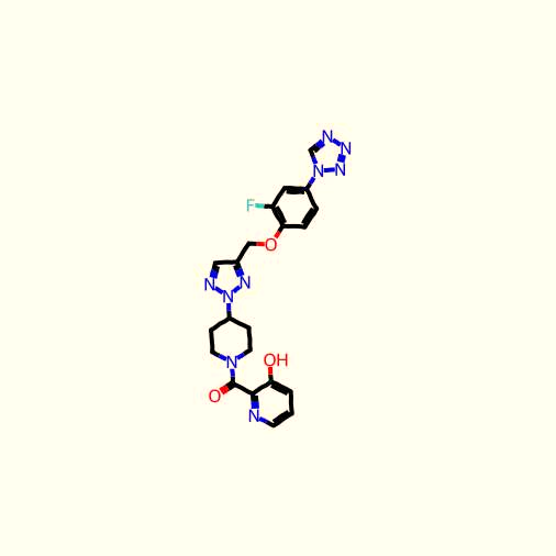 O=C(c1ncccc1O)N1CCC(n2ncc(COc3ccc(-n4cnnn4)cc3F)n2)CC1